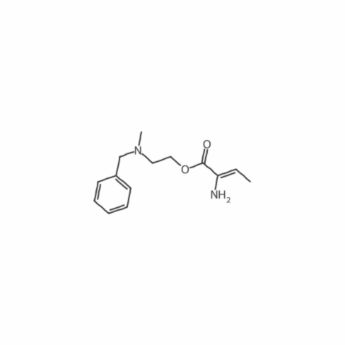 C/C=C(\N)C(=O)OCCN(C)Cc1ccccc1